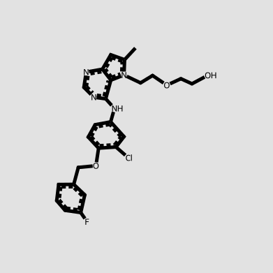 Cc1cc2ncnc(Nc3ccc(OCc4cccc(F)c4)c(Cl)c3)c2n1CCOCCO